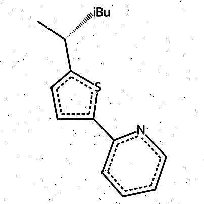 CCC(C)[C@@H](C)c1ccc(-c2ccccn2)s1